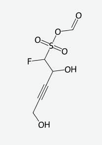 O=COS(=O)(=O)C(F)C(O)C#CCO